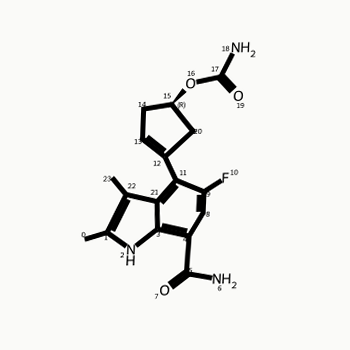 Cc1[nH]c2c(C(N)=O)cc(F)c(C3=CC[C@@H](OC(N)=O)C3)c2c1C